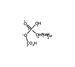 O=C(O)OP(=O)(O)O.[Cu].[NaH]